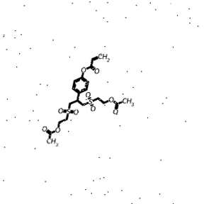 C=CC(=O)Oc1ccc(C(CS(=O)(=O)CCOC(C)=O)CS(=O)(=O)CCOC(C)=O)cc1